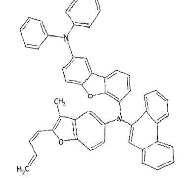 C=C/C=C\c1oc2ccc(N(c3cc4ccccc4c4ccccc34)c3cccc4c3oc3ccc(N(c5ccccc5)c5ccccc5)cc34)cc2c1C